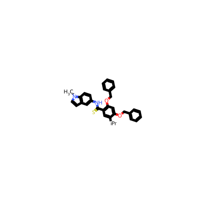 CC(C)c1cc(C(=S)Nc2ccc3c(ccn3C)c2)c(OCc2ccccc2)cc1OCc1ccccc1